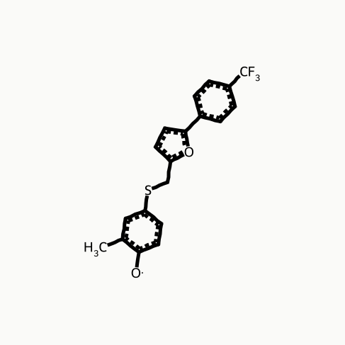 Cc1cc(SCc2ccc(-c3ccc(C(F)(F)F)cc3)o2)ccc1[O]